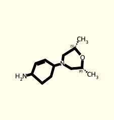 C[C@@H]1CN(C2C=CC(N)CC2)C[C@H](C)O1